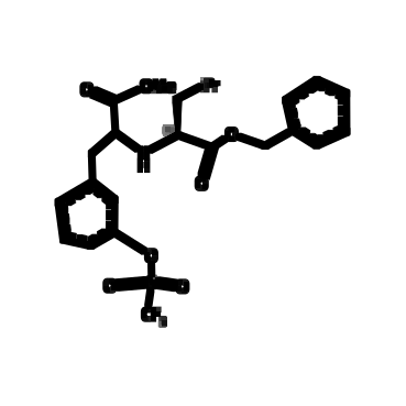 COC(=O)C(Cc1cccc(OS(=O)(=O)C(F)(F)F)c1)N[C@@H](CC(C)C)C(=O)OCc1ccccc1